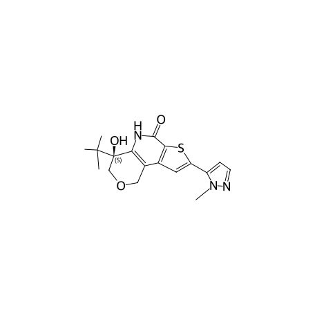 Cn1nccc1-c1cc2c3c([nH]c(=O)c2s1)[C@@](O)(C(C)(C)C)COC3